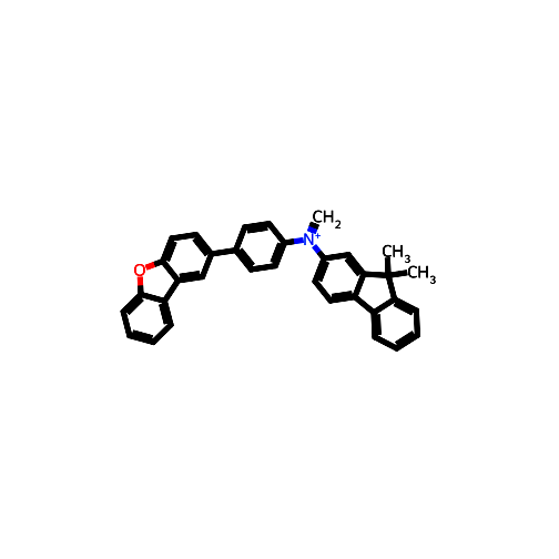 C=[N+](c1ccc(-c2ccc3oc4ccccc4c3c2)cc1)c1ccc2c(c1)C(C)(C)c1ccccc1-2